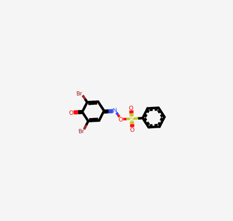 O=C1C(Br)=CC(=NOS(=O)(=O)c2ccccc2)C=C1Br